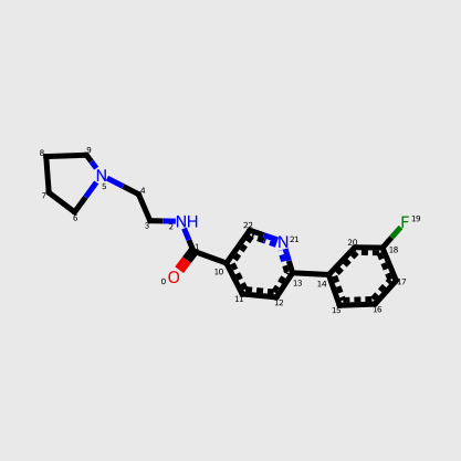 O=C(NCCN1CCCC1)c1ccc(-c2cccc(F)c2)nc1